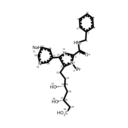 CC(C)n1c(C(=O)NCc2ccccc2)nc(-c2cccnc2)c1CC[C@@H](O)C[C@@H](O)CC(=O)O.[NaH]